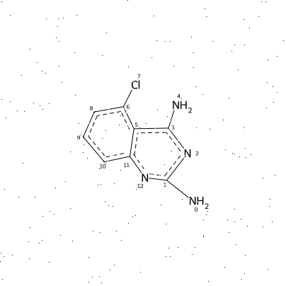 Nc1nc(N)c2c(Cl)cccc2n1